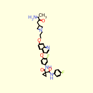 C[C@@H](N)C(=O)CC1CN(CCCOc2ccc3c(Oc4ccc(NC(=O)C5(C(=O)Nc6ccc(F)cc6)CC5)cc4F)ccnc3c2)C1